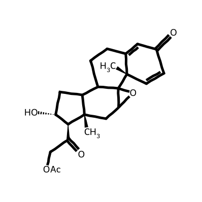 CC(=O)OCC(=O)[C@H]1[C@H](O)CC2C3CCC4=CC(=O)C=C[C@]4(C)C34OC4C[C@@]21C